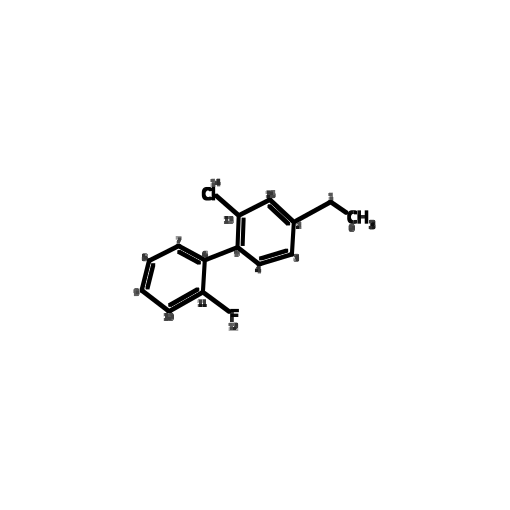 CCc1ccc(-c2ccccc2F)c(Cl)c1